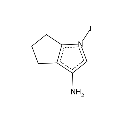 Nc1cn(I)c2c1CCC2